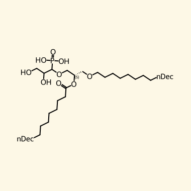 CCCCCCCCCCCCCCCCCCOC[C@@H](COC(C(O)CO)P(=O)(O)O)OC(=O)CCCCCCCCCCCCCCCCC